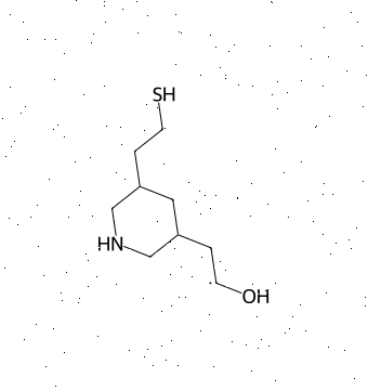 O[CH]CC1CNCC(CCS)C1